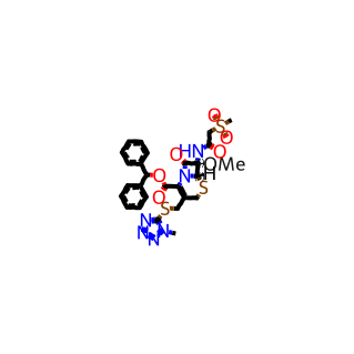 CO[C@@]1(NC(=O)CS(C)(=O)=O)C(=O)N2C(C(=O)OC(c3ccccc3)c3ccccc3)=C(CSc3nnnn3C)CS[C@H]21